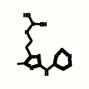 Cc1nc(Nc2ccncc2)sc1CCON(O)O